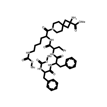 COC(=O)C1(N)CC2(CCN(C(=O)C(CCCCNC(=O)OC(C)(C)C)NC(=O)C(CC(C)C)NC(=O)C(Cc3ccccc3)NC(=O)C(Cc3ccccc3)NC(=O)OC(C)(C)C)CC2)C1